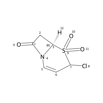 O=C1C[C@@H]2N1C=CC(Cl)S2(=O)=O